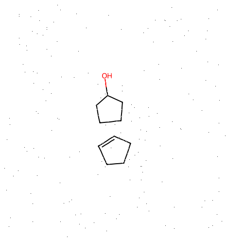 C1=CCCC1.OC1CCCC1